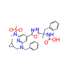 CC1CC1CN(Cc1ccccc1)c1cc(-c2nnc(C(C)(Cc3ccccc3)NC(=O)O)o2)cc(N(C)S(C)(=O)=O)n1